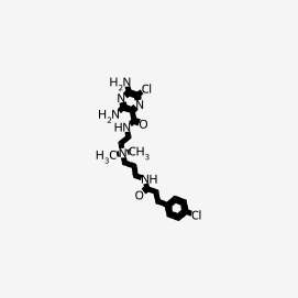 C[N+](C)(CCCNC(=O)CCc1ccc(Cl)cc1)CCNC(=O)c1nc(Cl)c(N)nc1N